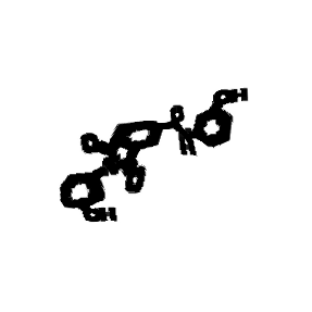 O=C(Nc1cccc(O)c1)c1ccc2c(c1)C(=O)N(c1cccc(O)c1)C2=O